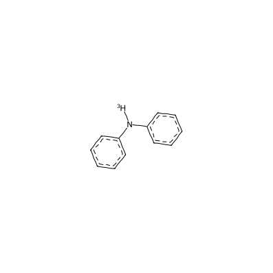 [3H]N(c1ccccc1)c1ccccc1